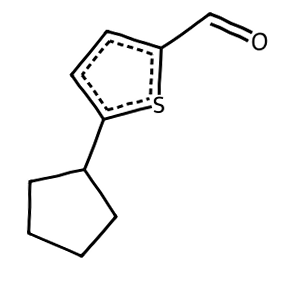 O=Cc1ccc(C2CCCC2)s1